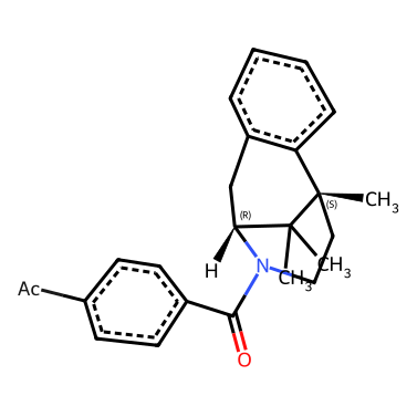 CC(=O)c1ccc(C(=O)N2CC[C@@]3(C)c4ccccc4C[C@@H]2C3(C)C)cc1